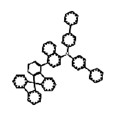 C1=C(c2ccc(N(c3ccc(-c4ccccc4)cc3)c3ccc(-c4ccccc4)cc3)c3ccccc23)C2=C(CC1)C1(c3ccccc32)c2ccccc2-c2ccccc21